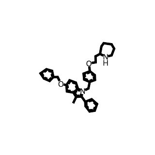 Cc1c(-c2ccccc2)n(Cc2ccc(OCCC3CCCCCN3)cc2)c2ccc(OCc3ccccc3)cc12